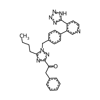 CCCCc1nc(C(=O)Cc2ccccc2)nn1Cc1ccc(-c2cnccc2-c2nnn[nH]2)cc1